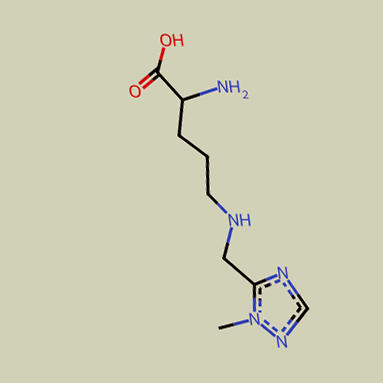 Cn1ncnc1CNCCCC(N)C(=O)O